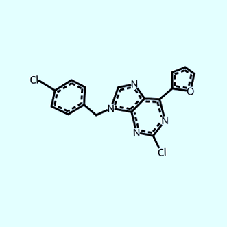 Clc1ccc(Cn2cnc3c(-c4ccco4)nc(Cl)nc32)cc1